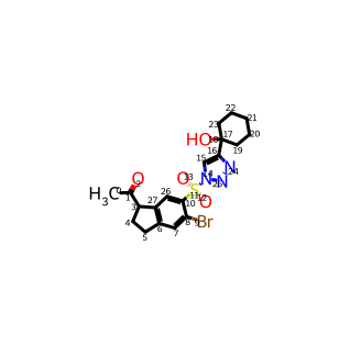 CC(=O)C1CCc2cc(Br)c(S(=O)(=O)n3cc(C4(O)CCCCC4)nn3)cc21